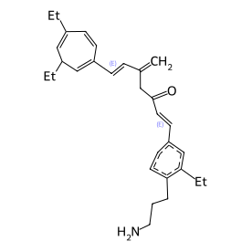 C=C(/C=C/C1=CC(CC)C=C(CC)C=C1)CC(=O)/C=C/c1ccc(CCCN)c(CC)c1